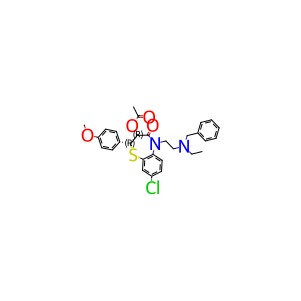 CCN(CCN1C(=O)[C@@H](OC(C)=O)[C@@H](c2ccc(OC)cc2)Sc2cc(Cl)ccc21)Cc1ccccc1